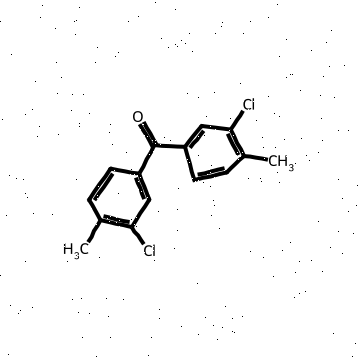 Cc1ccc(C(=O)c2ccc(C)c(Cl)c2)cc1Cl